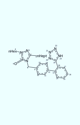 CCCCCCCc1nn(CCCCCC)c(=O)n1Cc1ccc(-c2ccccc2-c2nnn[nH]2)cc1